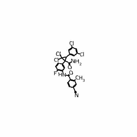 Cc1cc(C#N)ccc1C(=O)Nc1cc(C2(C(N)=O)C(c3cc(Cl)cc(Cl)c3)C2(Cl)Cl)ccc1F